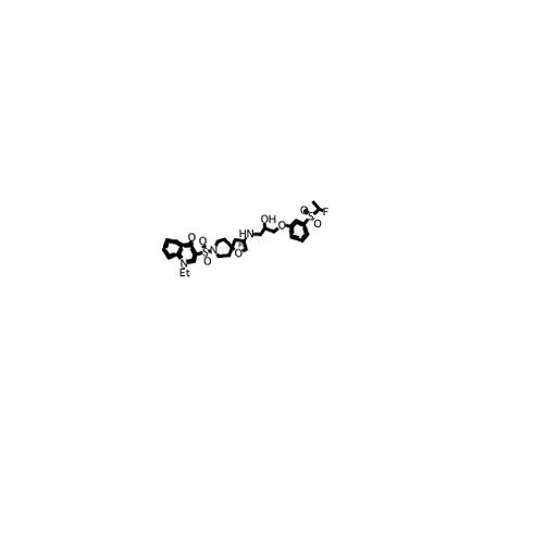 CCn1cc(S(=O)(=O)N2CCC3(CC2)C[C@@H](NCC(O)COc2cccc(S(=O)(=O)C(C)F)c2)CO3)c(=O)c2ccccc21